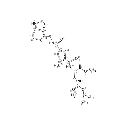 COC(=O)C(CNC(=O)OC(C)(C)C)NC(=O)c1sc(C(=O)NCc2cccc3[nH]ccc23)cc1C